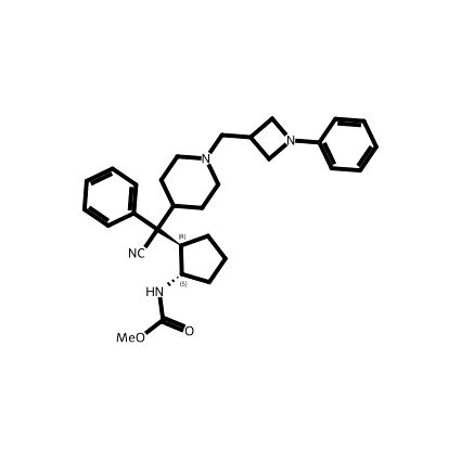 COC(=O)N[C@H]1CCC[C@@H]1C(C#N)(c1ccccc1)C1CCN(CC2CN(c3ccccc3)C2)CC1